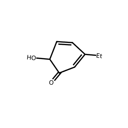 CCC1=CC(=O)C(O)C=C1